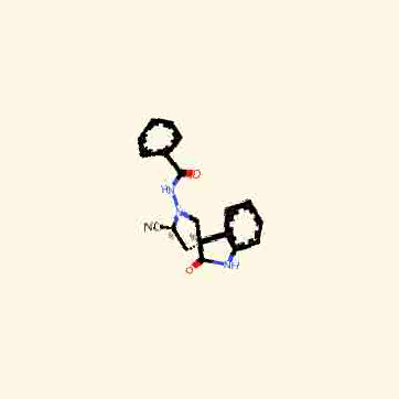 N#C[C@@H]1C[C@@]2(CN1NC(=O)c1ccccc1)C(=O)Nc1ccccc12